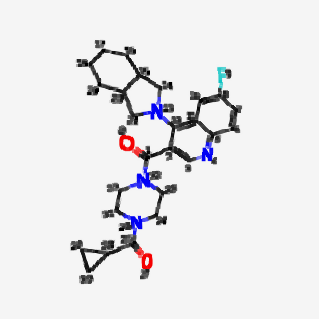 O=C(c1cnc2ccc(F)cc2c1N1CC2CCCCC2C1)N1CCN(C(=O)C2CC2)CC1